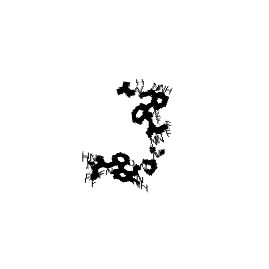 CC(C)CNCc1n[nH]c2ccc3nc(-c4cn(CN(C)C5CCN(C(=O)c6n[nH]c7ccc8nc(-c9c[nH]nc9C(F)(F)F)c9c(c8c67)CCCC9)C5)nc4C(F)(F)F)c4c(c3c12)CCCC4